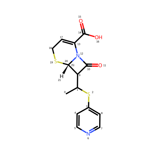 CC(Sc1ccncc1)C1C(=O)N2C(C(=O)O)=CCS[C@@H]12